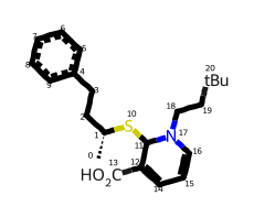 C[C@H](CCc1ccccc1)SC1C(C(=O)O)=CC=CN1CCC(C)(C)C